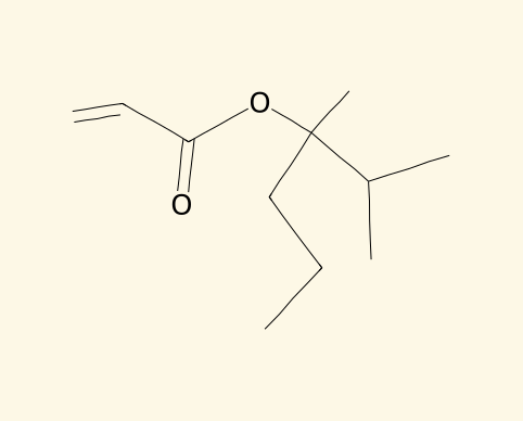 C=CC(=O)OC(C)(CCC)C(C)C